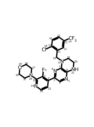 Fc1c(-c2cnc3c(n2)N(Cc2cc(C(F)(F)F)ccc2Cl)CCN3)ccnc1N1CCOCC1